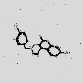 COc1ccc2c3c(c(=O)oc2c1)CN(Cc1ccc(C(F)(F)F)cc1)CC3